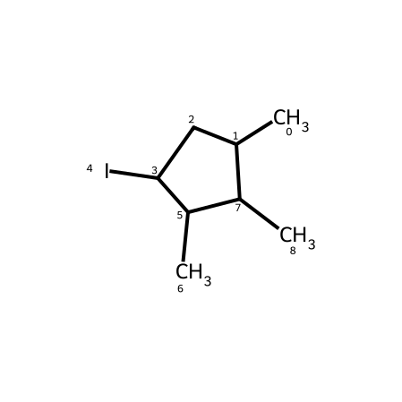 CC1CC(I)C(C)C1C